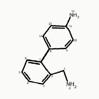 NCc1c[c]ccc1-c1ccc(N)cc1